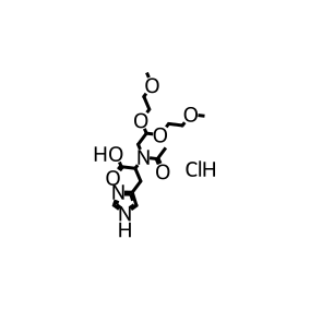 COCCOC(CN(C(C)=O)C(Cc1c[nH]cn1)C(=O)O)OCCOC.Cl